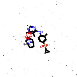 Cc1cc(S(=O)(=O)C2CC2)ccc1Nc1ncnc(O[C@H]2CC3CC[C@@H](C2)N3C(=O)OC(C)(C)C)c1C